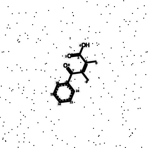 CC(C(=O)O)=C(C)C(=O)c1ccccc1